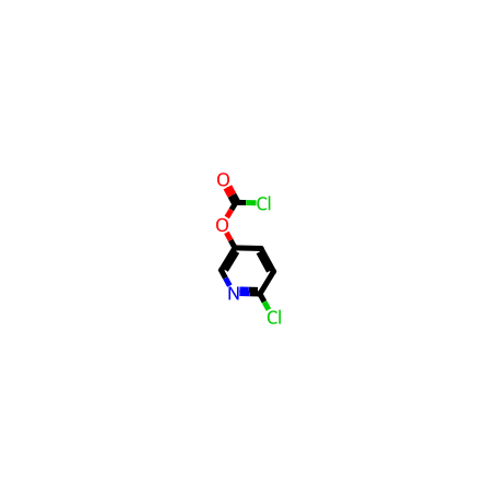 O=C(Cl)Oc1ccc(Cl)nc1